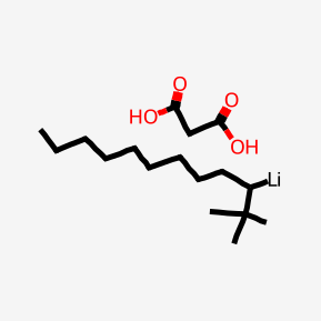 O=C(O)CC(=O)O.[Li][CH](CCCCCCCCC)C(C)(C)C